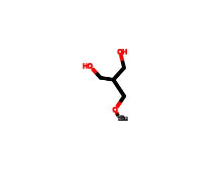 CC(C)(C)OCC(CO)CO